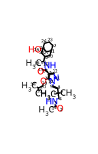 CC(=O)NCC(C)(C)/C=C/n1ncc(C(=O)NC(C)C2CC3CCC[C@@](O)(C3)C2)c1OCC(C)C